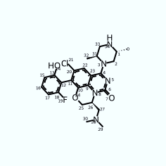 C[C@@H]1CN(c2nc(=O)n3c4c(c(-c5c(O)cccc5F)c(Cl)cc24)OC[C@@H]3CN(C)C)[C@@H](C)CN1